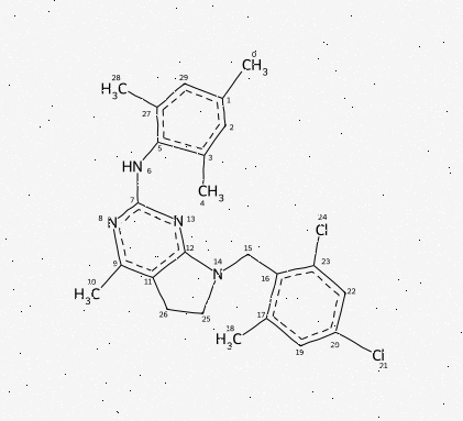 Cc1cc(C)c(Nc2nc(C)c3c(n2)N(Cc2c(C)cc(Cl)cc2Cl)CC3)c(C)c1